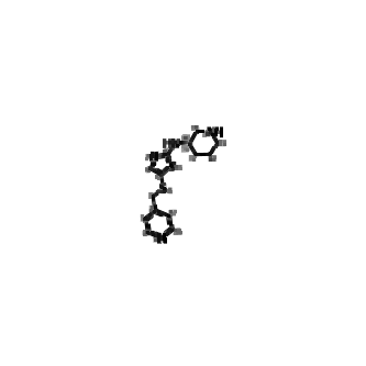 c1cc(CSc2cnc(N[C@@H]3CCCNC3)s2)ccn1